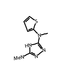 CNc1nnc(N(C)c2cccs2)[nH]1